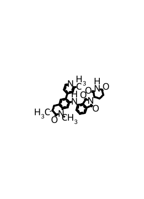 Cc1cc(-c2cc3c(cc2Nc2cccc4c2C(=O)N([C@H]2CCC(=O)NC2=O)C4=O)N(C)C(=O)[C@H](C)C3)ccn1